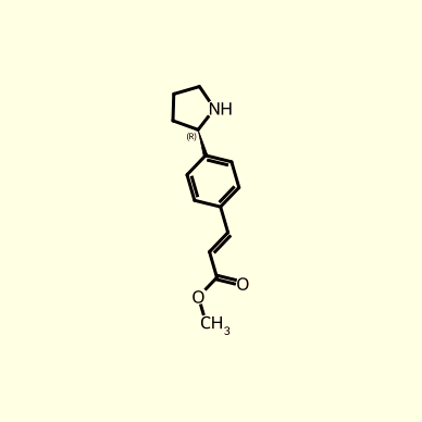 COC(=O)C=Cc1ccc([C@H]2CCCN2)cc1